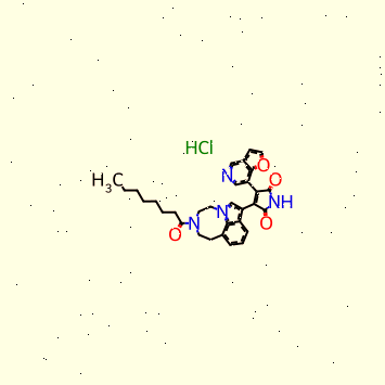 CCCCCCCC(=O)N1CCc2cccc3c(C4=C(c5cncc6ccoc56)C(=O)NC4=O)cn(c23)CC1.Cl